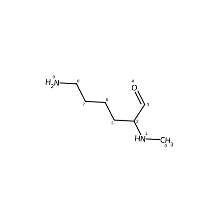 CNC(C=O)CCCCN